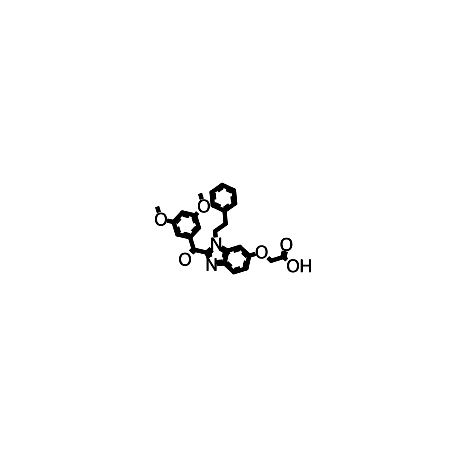 COc1cc(OC)cc(C(=O)c2nc3ccc(OCC(=O)O)cc3n2CCc2ccccc2)c1